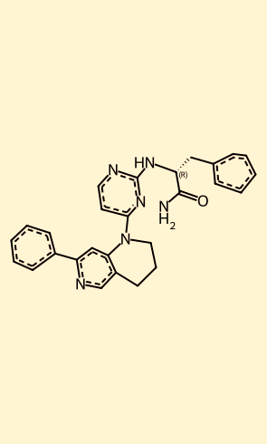 NC(=O)[C@@H](Cc1ccccc1)Nc1nccc(N2CCCc3cnc(-c4ccccc4)cc32)n1